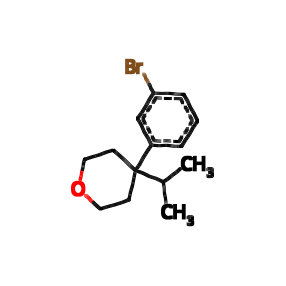 CC(C)C1(c2cccc(Br)c2)CCOCC1